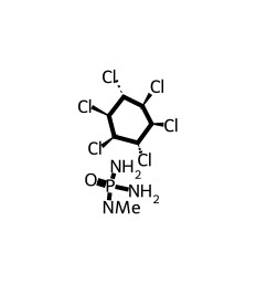 CNP(N)(N)=O.Cl[C@H]1[C@H](Cl)[C@@H](Cl)[C@@H](Cl)[C@H](Cl)[C@H]1Cl